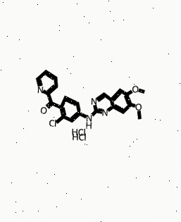 COc1cc2cnc(Nc3ccc(C(=O)c4ccccn4)c(Cl)c3)nc2cc1OC.Cl.Cl